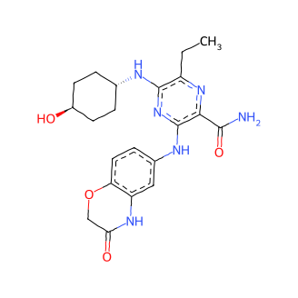 CCc1nc(C(N)=O)c(Nc2ccc3c(c2)NC(=O)CO3)nc1N[C@H]1CC[C@H](O)CC1